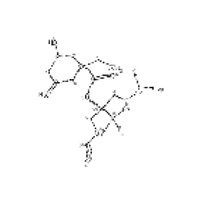 C=C1CC(O)CC(CC)(C(=O)OC(COC=O)(COC(F)F)C(F)(F)F)C1